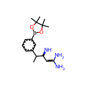 CC(C(=N)C=C(N)N)c1cccc(B2OC(C)(C)C(C)(C)O2)c1